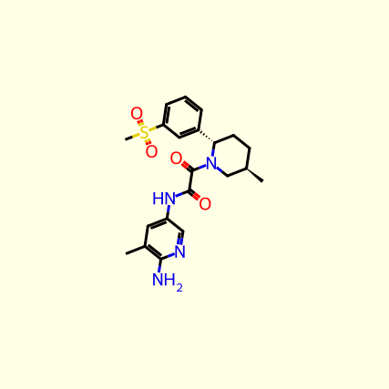 Cc1cc(NC(=O)C(=O)N2C[C@H](C)CC[C@H]2c2cccc(S(C)(=O)=O)c2)cnc1N